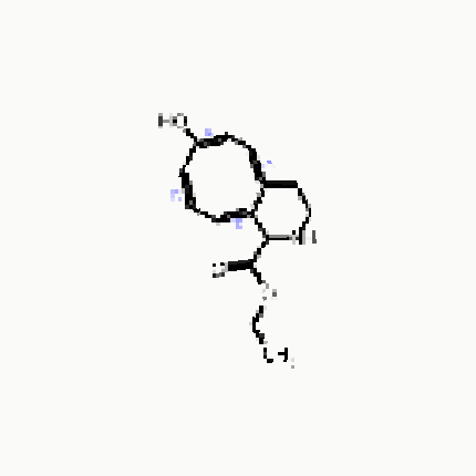 CCOC(=O)C1NCCC2=C/C=C(O)\C=C/C=C\21